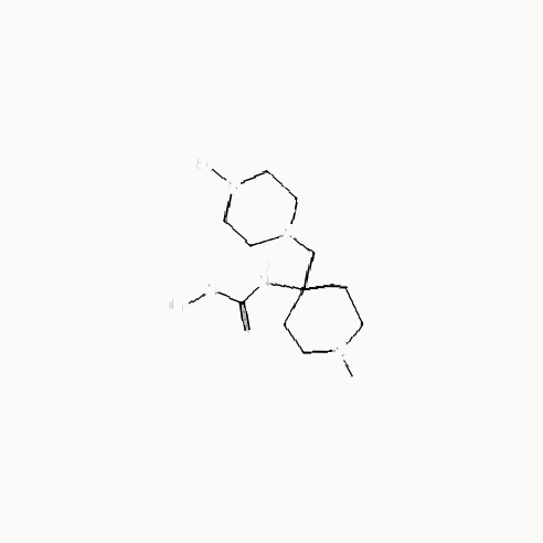 CCN1CCN(CC2(NC(=O)NC(C)C)CCN(C(C)C)CC2)CC1